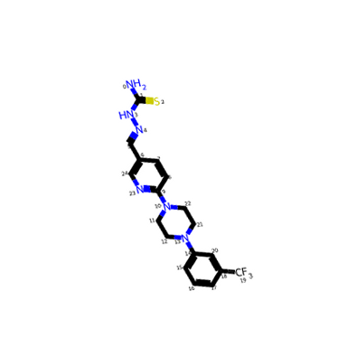 NC(=S)NN=Cc1ccc(N2CCN(c3cccc(C(F)(F)F)c3)CC2)nc1